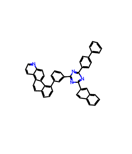 c1ccc(-c2ccc(-c3nc(-c4cccc(-c5cccc6ccc7c8cccnc8ccc7c56)c4)nc(-c4ccc5ccccc5c4)n3)cc2)cc1